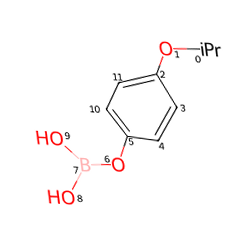 CC(C)Oc1ccc(OB(O)O)cc1